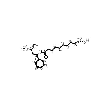 CCCCC(CC)CC(OC(=O)CCCCCCCCC(=O)O)c1ccccc1